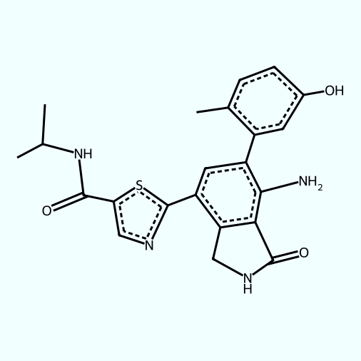 Cc1ccc(O)cc1-c1cc(-c2ncc(C(=O)NC(C)C)s2)c2c(c1N)C(=O)NC2